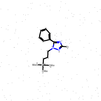 CCc1nc(-c2ccccc2)n(CCC[Si](OC)(OC)OC)n1